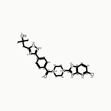 CC(C)(O)Cc1nc(-c2ccc(C(=O)N3CCN(c4nc5nc(Cl)ccc5o4)CC3)cc2)no1